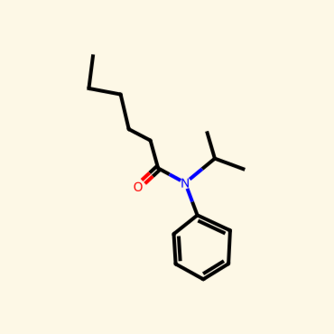 CCCCCC(=O)N(c1ccccc1)C(C)C